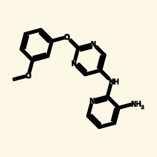 COc1cccc(Oc2ncc(Nc3ncccc3N)cn2)c1